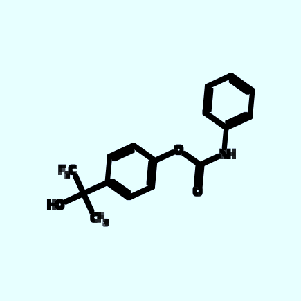 O=C(Nc1ccccc1)Oc1ccc(C(O)(C(F)(F)F)C(F)(F)F)cc1